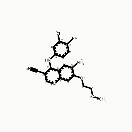 COCCOc1cc2ncc(C#N)c(Nc3ccc(F)c(Cl)c3)c2cc1N